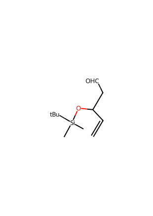 C=CC(CC=O)O[Si](C)(C)C(C)(C)C